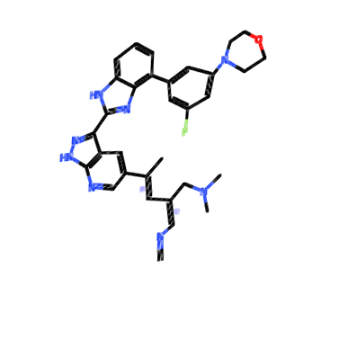 C=N/C=C(\C=C(/C)c1cnc2[nH]nc(-c3nc4c(-c5cc(F)cc(N6CCOCC6)c5)cccc4[nH]3)c2c1)CN(C)C